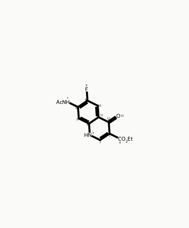 CCOC(=O)c1c[nH]c2cc(NC(C)=O)c(F)cc2c1=O